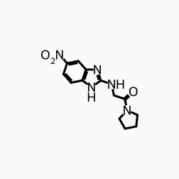 O=C(CNc1nc2cc([N+](=O)[O-])ccc2[nH]1)N1CCCC1